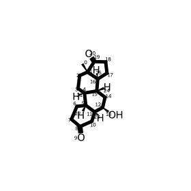 C[C@]12CC[C@@H]3[C@H]4CCC(=O)C[C@@H]4[C@H](O)C[C@H]3[C@@H]1CCC2=O